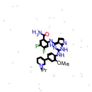 COc1cc(C2=CCCN(C(C)C)C2)ccc1Nc1nc(Nc2cc(F)c(F)cc2C(N)=O)c2ccnc-2[nH]1